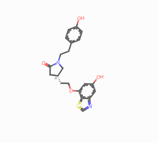 O=C1C[C@@H](CCOc2cc(O)cc3ncsc23)CN1CCc1ccc(O)cc1